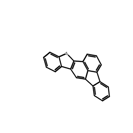 c1ccc2c(c1)-c1cccc3c1c-2cc1c2ccccc2sc31